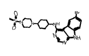 CS(=O)(=O)N1CCN(C2CCC(Nc3ncnc4[nH]c5ccc(Br)cc5c34)CC2)CC1